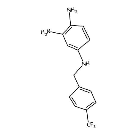 Nc1ccc(NCc2ccc(C(F)(F)F)cc2)cc1N